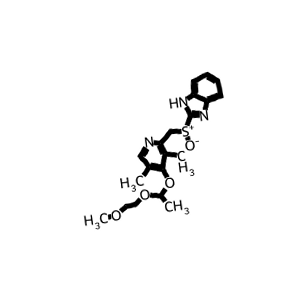 COCCOC(C)Oc1c(C)cnc(C[S+]([O-])c2nc3ccccc3[nH]2)c1C